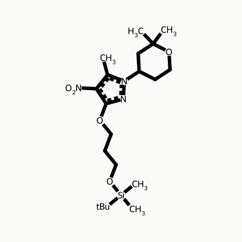 Cc1c([N+](=O)[O-])c(OCCCO[Si](C)(C)C(C)(C)C)nn1C1CCOC(C)(C)C1